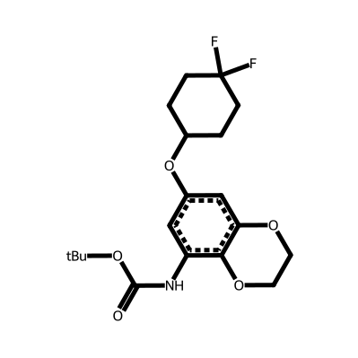 CC(C)(C)OC(=O)Nc1cc(OC2CCC(F)(F)CC2)cc2c1OCCO2